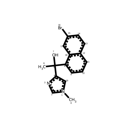 Cn1cnc(C(C)(O)c2cccc3ccc(Br)cc23)c1